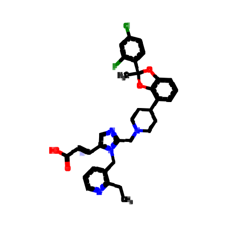 CCc1ncccc1Cn1c(/C=C/C(=O)O)cnc1CN1CCC(c2cccc3c2OC(C)(c2ccc(Cl)cc2F)O3)CC1